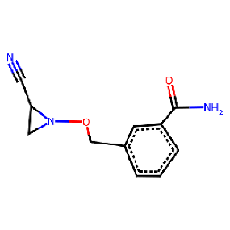 N#CC1CN1OCc1cccc(C(N)=O)c1